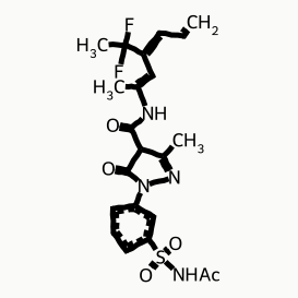 C=C/C=C(\C=C(/C)NC(=O)C1C(=O)N(c2cccc(S(=O)(=O)NC(C)=O)c2)N=C1C)C(C)(F)F